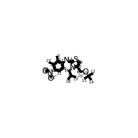 Cc1c(N=c2scc([C@@H](C)OC(C)(C)C)n2CC(C)C)ccc([N+](=O)[O-])c1C